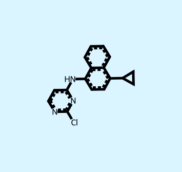 Clc1nccc(Nc2ccc(C3CC3)c3ccccc23)n1